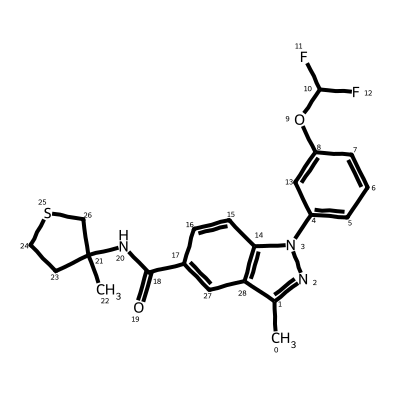 Cc1nn(-c2cccc(OC(F)F)c2)c2ccc(C(=O)NC3(C)CCSC3)cc12